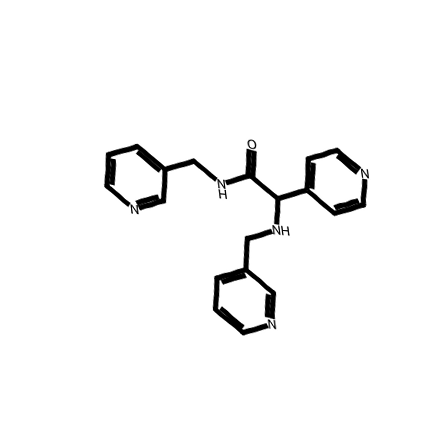 O=C(NCc1cccnc1)C(NCc1cccnc1)c1ccncc1